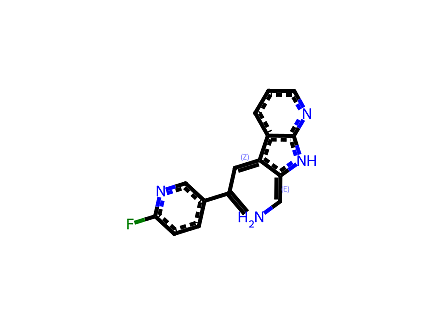 C=C(/C=c1\c(=C/N)[nH]c2ncccc12)c1ccc(F)nc1